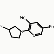 Bc1cnc(N2CCC(F)C2)c(C#N)c1